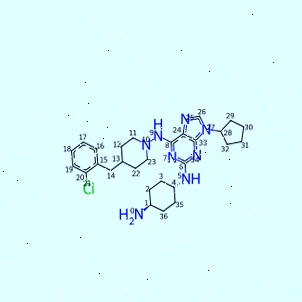 N[C@H]1CC[C@H](Nc2nc(NN3CCC(Cc4ccccc4Cl)CC3)c3ncn(C4CCCC4)c3n2)CC1